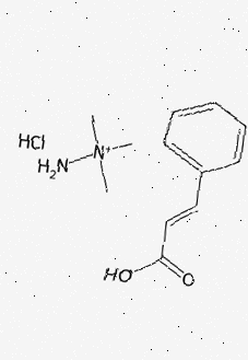 C[N+](C)(C)N.Cl.O=C(O)C=Cc1ccccc1